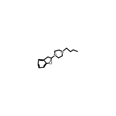 CCCCN1CCN(C2Cc3ccccc3O2)CC1